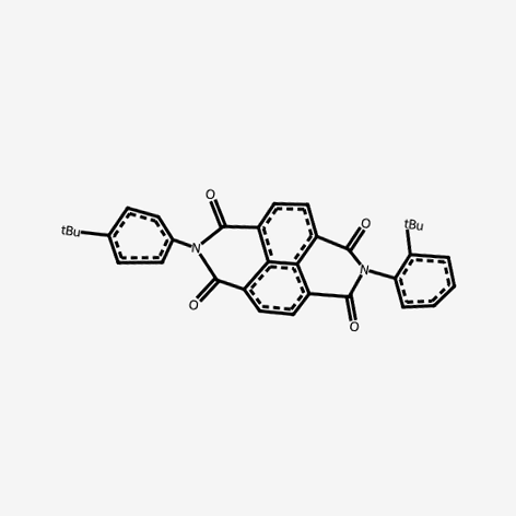 CC(C)(C)c1ccc(N2C(=O)c3ccc4c5c(ccc(c35)C2=O)C(=O)N(c2ccccc2C(C)(C)C)C4=O)cc1